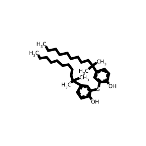 CCCCCCCCCC(C)(C)c1ccc(O)c(Sc2cc(C(C)(C)CCCCCCCCC)ccc2O)c1